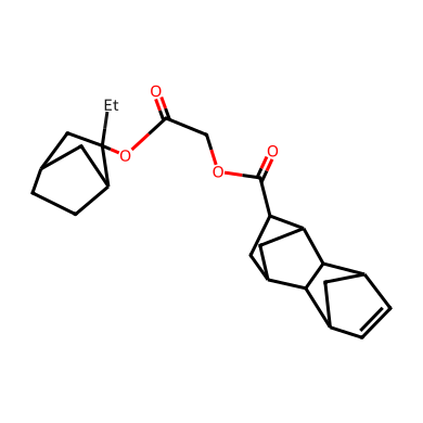 CCC1(OC(=O)COC(=O)C2CC3CC2C2C4C=CC(C4)C32)CC2CCC1C2